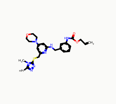 C=CCOC(=O)Nc1cccc(CNc2cc(N3CCOCC3)cc(CSc3nnc(CCC)n3C)n2)c1